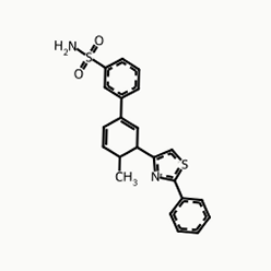 CC1C=CC(c2cccc(S(N)(=O)=O)c2)=CC1c1csc(-c2ccccc2)n1